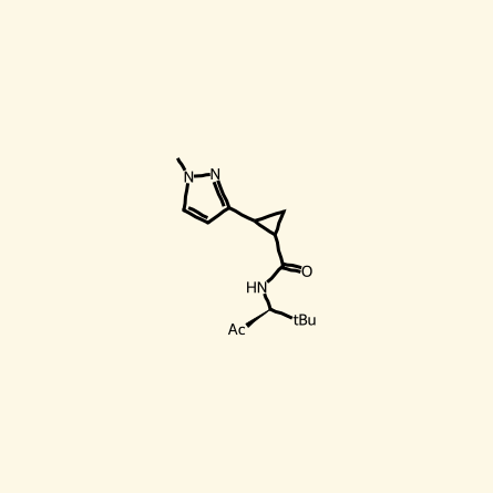 CC(=O)[C@@H](NC(=O)C1CC1c1ccn(C)n1)C(C)(C)C